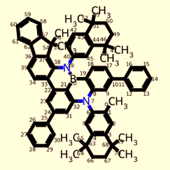 Cc1cc2c(cc1N1c3cc(-c4ccccc4)ccc3B3c4c(cc(-c5ccccc5)cc41)-c1ccc4c(c1N3c1ccc3c(c1)C(C)(C)CCC3(C)C)C(C)(C)c1ccccc1-4)C(C)(C)CCC2(C)C